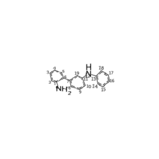 Nc1ccccc1-c1cccc(Nc2ccccc2)c1